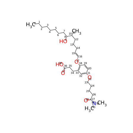 CCCCCCCCC(O)C(C)CCC/C=C/Oc1ccc(OCCCCC(=O)N(C)C)cc1CCC(=O)O